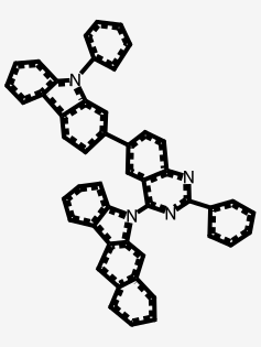 c1ccc(-c2nc(-n3c4ccccc4c4cc5ccccc5cc43)c3cc(-c4ccc5c6ccccc6n(-c6ccccc6)c5c4)ccc3n2)cc1